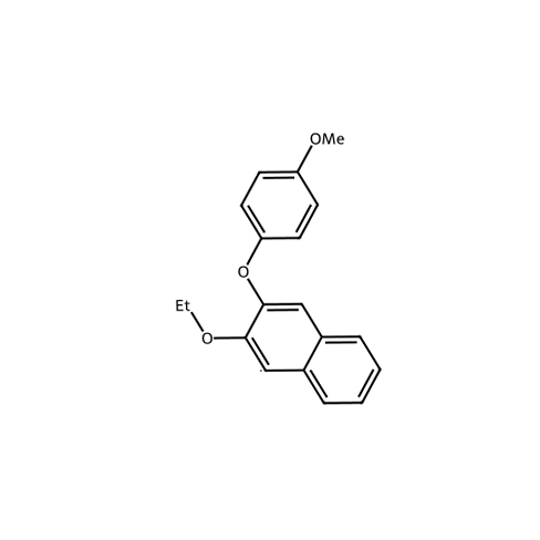 CCOc1[c]c2ccccc2cc1Oc1ccc(OC)cc1